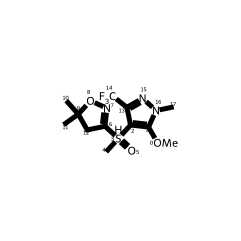 COc1c([SH](C)(=O)C2=NOC(C)(C)C2)c(C(F)(F)F)nn1C